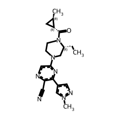 CC[C@@H]1CN(c2cnc(C#N)c(-c3cnn(C)c3)n2)CCN1C(=O)[C@@H]1C[C@H]1C